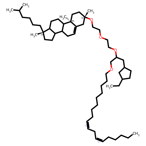 CCCCC/C=C\C/C=C\CCCCCCCCOCC(CC1CCC(CC)C1)OCCOCCO[C@@]1(C)CC[C@@]2(C)C(=CCC3C4CC[C@](C)(CCCCC(C)C)C4CCC32)C1